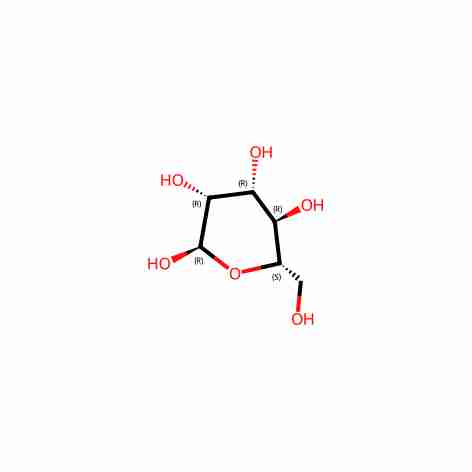 OC[C@@H]1O[C@@H](O)[C@H](O)[C@H](O)[C@H]1O